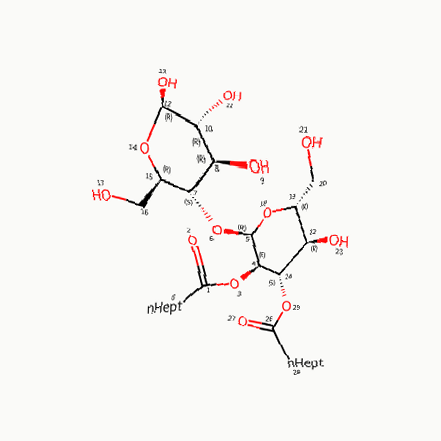 CCCCCCCC(=O)O[C@H]1[C@@H](O[C@H]2[C@H](O)[C@@H](O)[C@H](O)O[C@@H]2CO)O[C@H](CO)[C@@H](O)[C@@H]1OC(=O)CCCCCCC